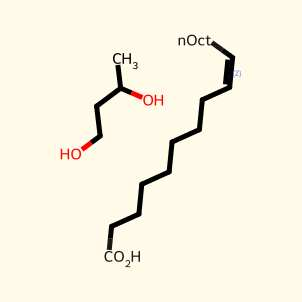 CC(O)CCO.CCCCCCCC/C=C\CCCCCCCC(=O)O